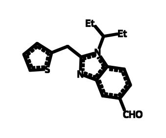 CCC(CC)n1c(Cc2cccs2)nc2cc(C=O)ccc21